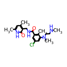 CNCCN(C)c1cc(Cl)cc(C(=O)NCc2c(C)cc(C)[nH]c2=O)c1C